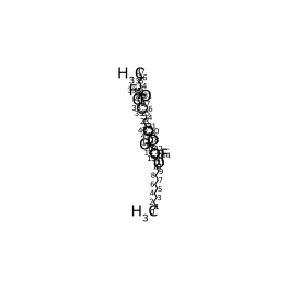 CCCCCCCCCCCOc1ccc(C(=O)Oc2ccc(CC[C@H]3CC[C@H](OC(=O)[C@@H](F)CCCC)CC3)cc2)cc1F